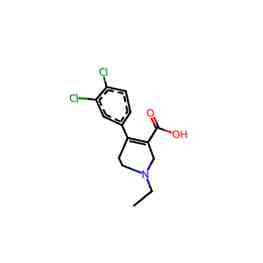 CCN1CCC(c2ccc(Cl)c(Cl)c2)=C(C(=O)O)C1